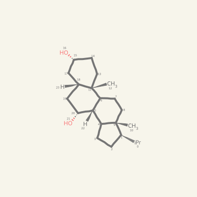 CC(C)[C@H]1CCC2[C@H]3C(CC[C@@]21C)[C@@]1(C)CC[C@@H](O)C[C@H]1C[C@H]3O